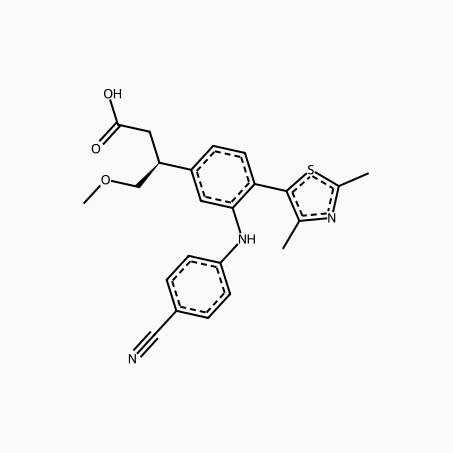 COC[C@@H](CC(=O)O)c1ccc(-c2sc(C)nc2C)c(Nc2ccc(C#N)cc2)c1